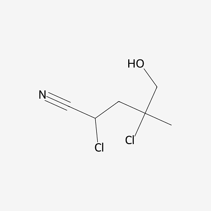 CC(Cl)(CO)CC(Cl)C#N